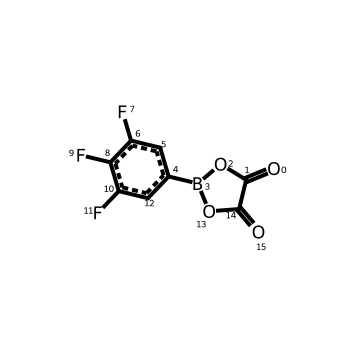 O=C1OB(c2cc(F)c(F)c(F)c2)OC1=O